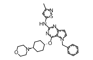 Cc1cc(Nc2nc(O[C@H]3CC[C@H](N4CCOCC4)CC3)c3c(ccn3Cc3ccccc3)n2)sn1